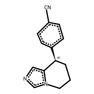 N#Cc1ccc([C@H]2CCCn3cncc32)cc1